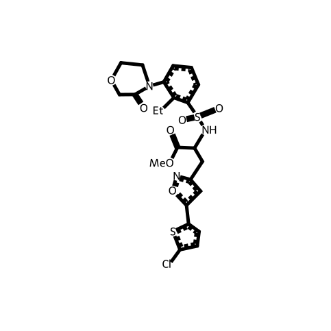 CCc1c(N2CCOCC2=O)cccc1S(=O)(=O)NC(Cc1cc(-c2ccc(Cl)s2)on1)C(=O)OC